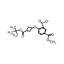 COC(=O)c1ccc(OC2CN(C(=O)OC(C)(C)C)C2)c([N+](=O)[O-])c1